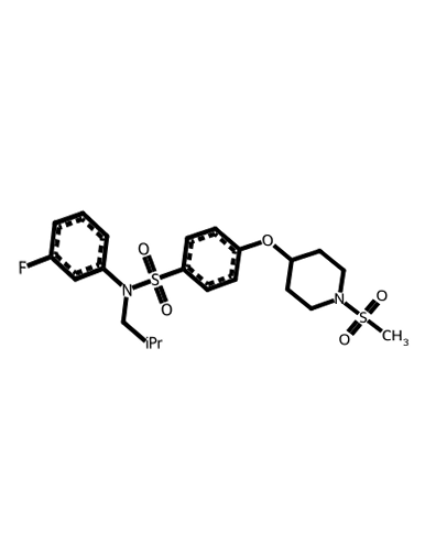 CC(C)CN(c1cccc(F)c1)S(=O)(=O)c1ccc(OC2CCN(S(C)(=O)=O)CC2)cc1